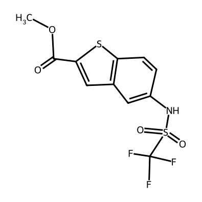 COC(=O)c1cc2cc(NS(=O)(=O)C(F)(F)F)ccc2s1